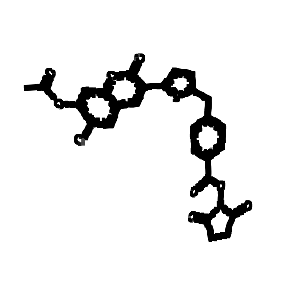 CC(=O)Oc1cc2oc(=O)c(-c3ccc(Cc4ccc(C(=O)ON5C(=O)CCC5=O)cc4)s3)cc2cc1Cl